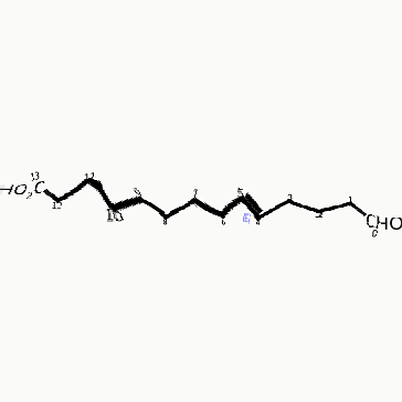 O=CCCC/C=C/CCCCCCCC(=O)O